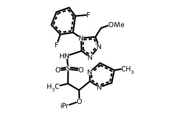 COCc1nnc(NS(=O)(=O)C(C)C(OC(C)C)c2ncc(C)cn2)n1-c1c(F)cccc1F